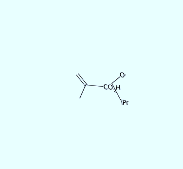 C=C(C)C(=O)O.CC(C)C[O]